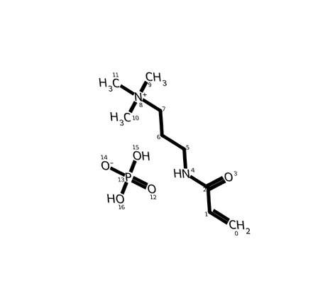 C=CC(=O)NCCC[N+](C)(C)C.O=P([O-])(O)O